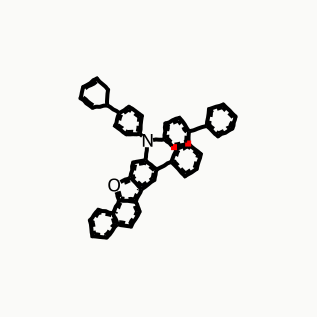 C1=CCC(c2ccc(N(c3ccc(-c4ccccc4)cc3)c3cc4oc5c6ccccc6ccc5c4cc3-c3ccccc3)cc2)C=C1